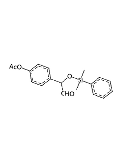 CC(=O)Oc1ccc(C(C=O)O[Si](C)(C)c2ccccc2)cc1